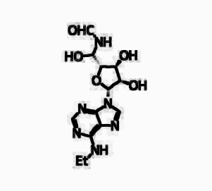 CCNc1ncnc2c1ncn2[C@@H]1O[C@H](C(O)NC=O)[C@@H](O)[C@H]1O